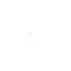 O=C1CCN(C2=CC(C(F)(F)F)C=CC=C2)C1